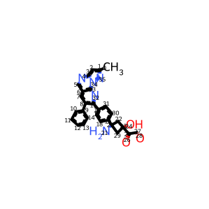 Cc1cc2ncc3cc(-c4ccccc4)c(-c4ccc(C5(N)CC(O)(C(=O)C=O)C5)cc4)nc3n2n1